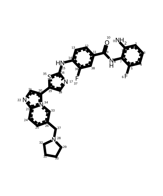 Nc1cccc(F)c1NC(=O)c1ccc(Nc2ncc(-c3cnc4ccc(CN5CCCC5)cn34)s2)c(F)c1